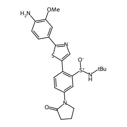 COc1cc(-c2ncc(-c3ccc(N4CCCC4=O)cc3[S+]([O-])NC(C)(C)C)s2)ccc1N